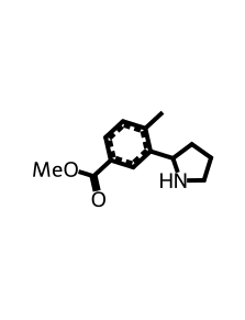 COC(=O)c1ccc(C)c(C2CCCN2)c1